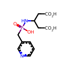 O=C(O)CC(CC(=O)O)NP(=O)(O)Cc1cccnc1